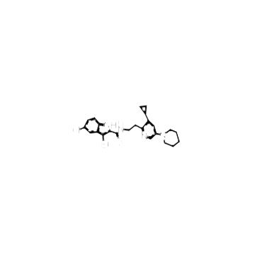 CCc1c(C(=O)NCCc2ncc(N3CCCCC3)cc2C2CC2)[nH]c2ccc(Cl)cc12